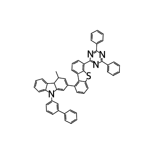 CC1C=C(c2cccc3sc4c(-c5nc(-c6ccccc6)nc(-c6ccccc6)n5)cccc4c23)C=C2C1c1ccccc1N2c1cccc(-c2ccccc2)c1